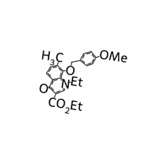 CCOC(=O)c1cn(CC)c2c(OCc3ccc(OC)cc3)c(C)ccc2c1=O